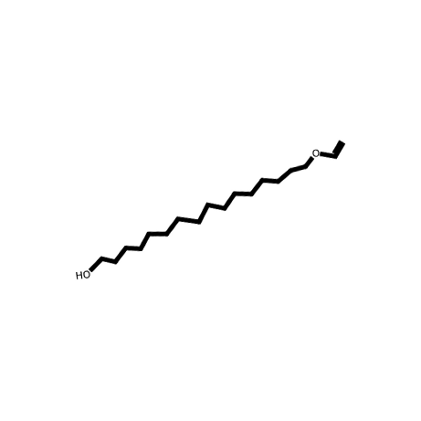 C=COCCCCCCCCCCCCCCCCO